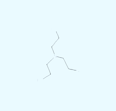 CCCN(CCC)CCBr